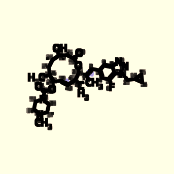 C/C(=C\c1cc(F)c2c(c1)nnn2CC1CC1)[C@H]1OC(=O)C[C@H](O)CC[C@H](C)[C@@H](OC(=O)N2CCN(C)CC2)/C=C/[C@@H]1C